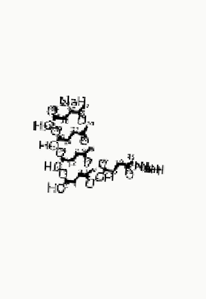 CC(=O)CCC(=O)O.CC(=O)CCC(=O)O.CC(=O)CCC(=O)O.CC(=O)CCC(=O)O.CC(=O)CCC(=O)O.[NaH].[NaH].[NaH]